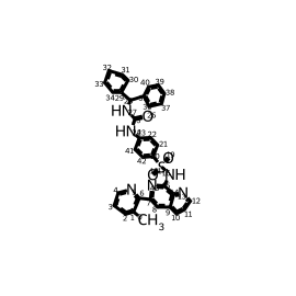 Cc1cccnc1-c1cc2cccnc2c(NS(=O)(=O)c2ccc(NC(=O)NC(c3ccccc3)c3ccccc3)cc2)n1